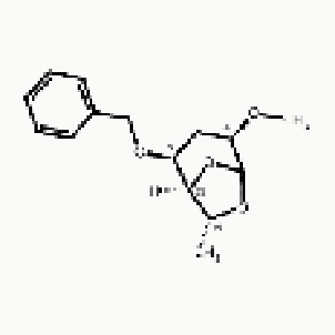 CO[C@@H]1C[C@H](OCc2ccccc2)[C@H]2OC1O[C@@H]2C